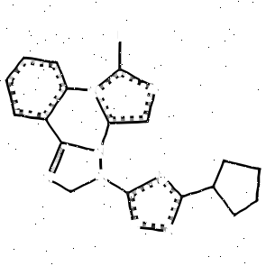 Fc1ncc2n1-c1ccccc1C1=NCN(c3nc(C4CCCC4)no3)N12